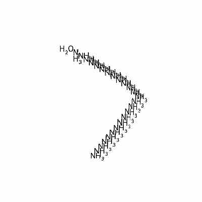 N.N.N.N.N.N.N.N.N.N.N.N.N.N.N.N.N.N.N.N.N.N.N.N.N.O